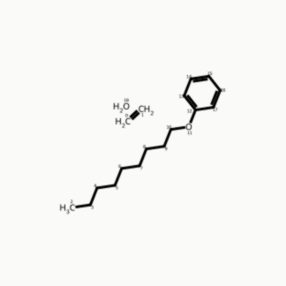 C=C.CCCCCCCCCOc1ccccc1.O